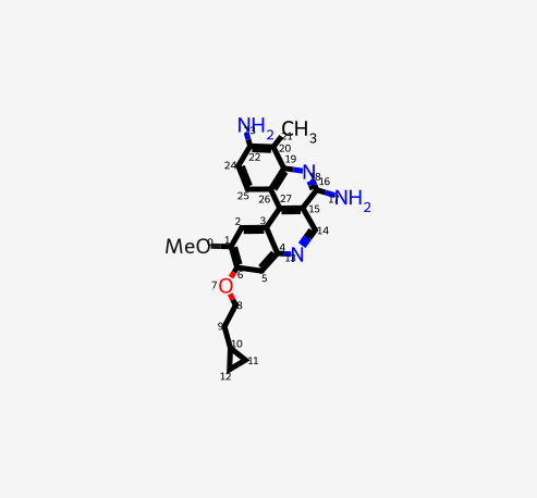 COc1cc2c(cc1OCCC1CC1)ncc1c(N)nc3c(C)c(N)ccc3c12